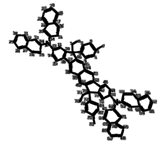 CCC1(c2ccc(C)cc2)c2cc(N(c3ccc4ccccc4c3)c3ccc4ccccc4c3)ccc2-c2cc3cc4c(cc3cc21)-c1ccc(N(c2ccc3ccccc3c2)c2ccc3ccccc3c2)cc1C4(CC)c1ccc(C)cc1